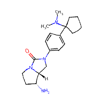 CN(C)C1(c2ccc(N3C[C@@H]4[C@H](N)CCN4C3=O)cc2)CCCC1